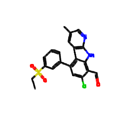 CCS(=O)(=O)c1cccc(-c2cc(Cl)c(C=O)c3[nH]c4ncc(C)cc4c23)c1